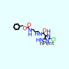 CCCCCNc1nc(Cl)[nH]c1C(=O)NCCCNC(=O)OCc1ccccc1